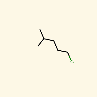 [CH2]C(C)CCCCl